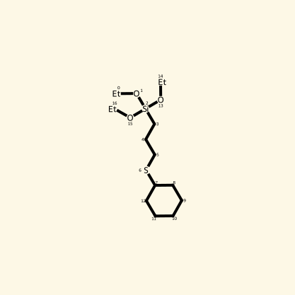 CCO[Si](CCCSC1CCCCC1)(OCC)OCC